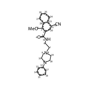 COc1c(C(=O)NCCN2CCN(c3ccccc3)CC2)cc(C#N)c2ccccc12